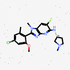 COc1cc(Cl)cc(C)c1-c1nc2nc(N[C@@H]3CCN(C)C3)c(F)cc2n1C